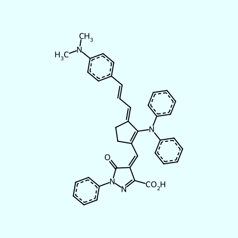 CN(C)c1ccc(/C=C/C=C2\CCC(/C=C3\C(=O)N(c4ccccc4)N=C3C(=O)O)=C2N(c2ccccc2)c2ccccc2)cc1